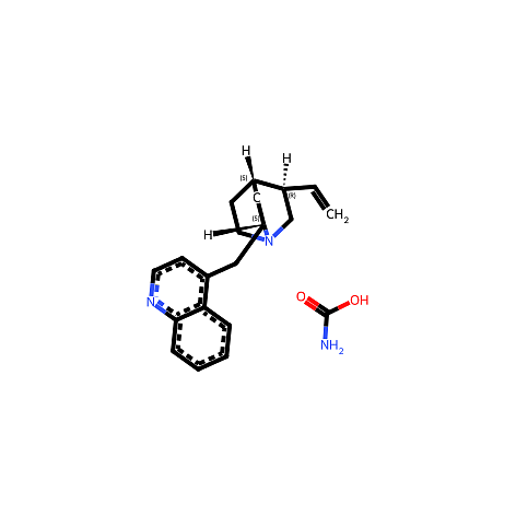 C=C[C@H]1CN2CC[C@H]1C[C@H]2Cc1ccnc2ccccc12.NC(=O)O